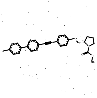 CC(C)(C)OC(=O)N1CCC[C@H]1CNc1ccc(C#Cc2ccc(-c3ccc(Cl)cc3)cn2)cc1